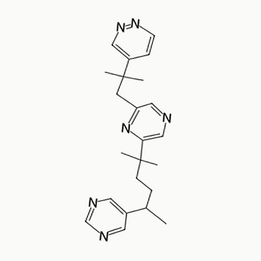 CC(CCC(C)(C)c1cncc(CC(C)(C)c2ccnnc2)n1)c1cncnc1